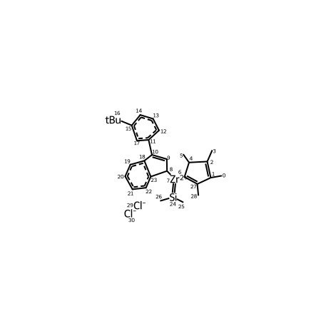 CC1=C(C)C(C)[C]([Zr+2]([CH]2C=C(c3cccc(C(C)(C)C)c3)c3ccccc32)=[Si](C)C)=C1C.[Cl-].[Cl-]